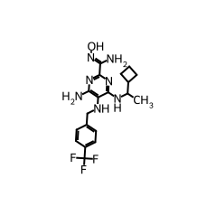 CC(Nc1nc(/C(N)=N/O)nc(N)c1NCc1ccc(C(F)(F)F)cc1)C1CCC1